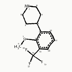 COc1c(C2CCNCC2)cccc1C(F)(F)F